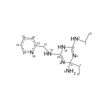 CCNC1=NC(N)(CC)N=C(NCc2ccccn2)N1